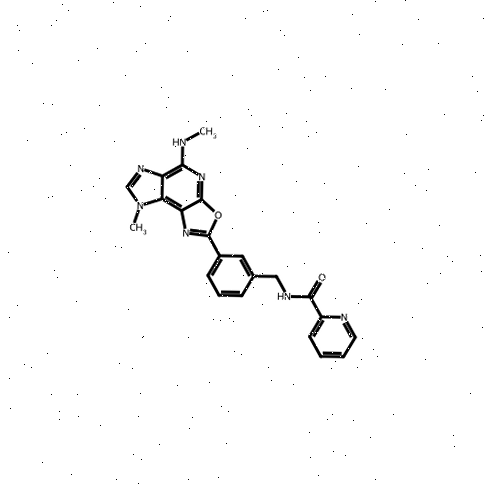 CNc1nc2oc(-c3cccc(CNC(=O)c4ccccn4)c3)nc2c2c1ncn2C